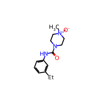 CCc1cccc(NC(=O)N2CC[N+](C)([O-])CC2)c1